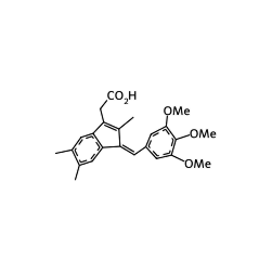 COc1cc(C=C2C(C)=C(CC(=O)O)c3cc(C)c(C)cc32)cc(OC)c1OC